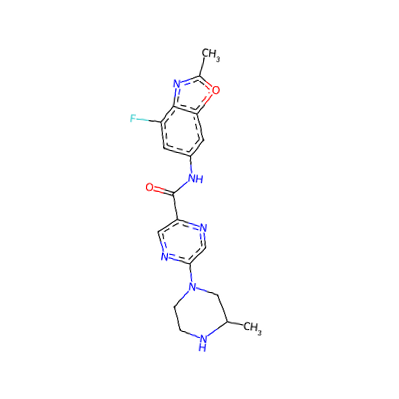 Cc1nc2c(F)cc(NC(=O)c3cnc(N4CCNC(C)C4)cn3)cc2o1